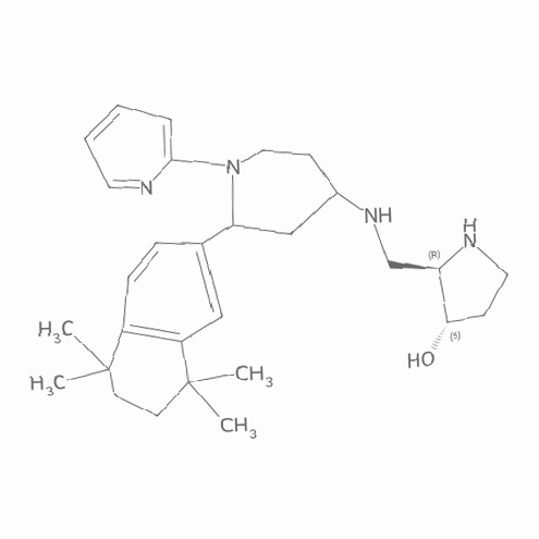 CC1(C)CCC(C)(C)c2cc(C3CC(NC[C@H]4NCC[C@@H]4O)CCN3c3ccccn3)ccc21